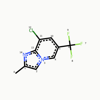 Cc1cn2cc(C(F)(F)F)cc(Cl)c2n1